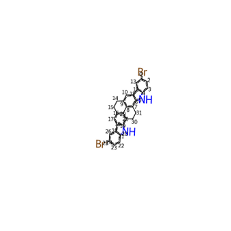 Brc1ccc2[nH]c3c4c5c(cc3c2c1)CCc1cc2c([nH]c3ccc(Br)cc32)c(c1-5)CC4